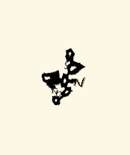 N#Cc1ccccc1-c1cc(-c2cccc3c2oc2ccccc23)c(C#N)c(-c2cccc3c2sc2ccccc23)c1